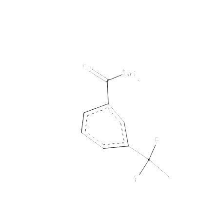 CC(F)(F)c1cccc(C(N)=O)c1